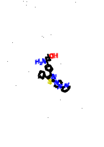 CC1(O)CC(N)(c2ccc(-c3nc(N4CCN(c5ccccn5)CC4)sc3-c3ccccc3)cc2)C1